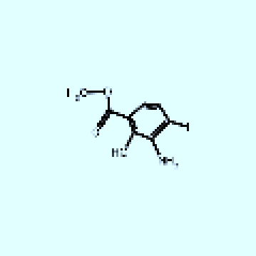 COC(=O)c1ccc(I)c(N)c1O